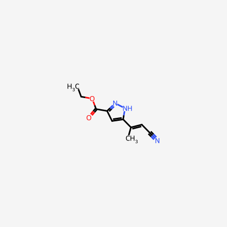 CCOC(=O)c1cc(C(C)=CC#N)[nH]n1